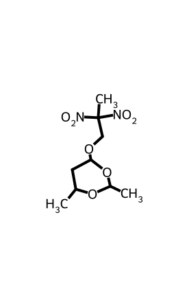 CC1CC(OCC(C)([N+](=O)[O-])[N+](=O)[O-])OC(C)O1